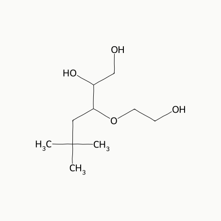 CC(C)(C)CC(OCCO)C(O)CO